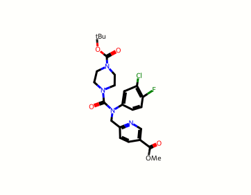 COC(=O)c1ccc(CN(C(=O)N2CCN(C(=O)OC(C)(C)C)CC2)c2ccc(F)c(Cl)c2)nc1